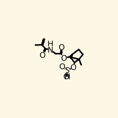 C=C(C)C(=O)NCC(=O)OC1C2CCC(C)(C2)C1O[SH](=O)=O